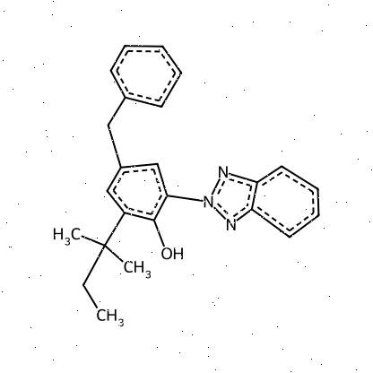 CCC(C)(C)c1cc(Cc2ccccc2)cc(-n2nc3ccccc3n2)c1O